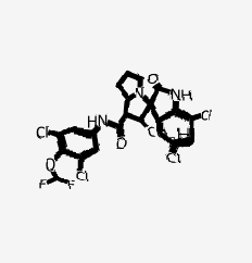 O=C(Nc1cc(Cl)c(OC(F)F)c(Cl)c1)C1C2CCCN2C2(C(=O)Nc3c(Cl)cc(Cl)cc32)C1C(=O)O